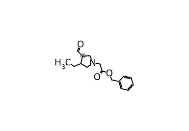 CCC1CN(CC(=O)OCc2ccccc2)C[C@@H]1C=O